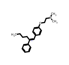 CCCC/C(=C\c1ccc(OCCN(C)C)cc1)c1ccccc1